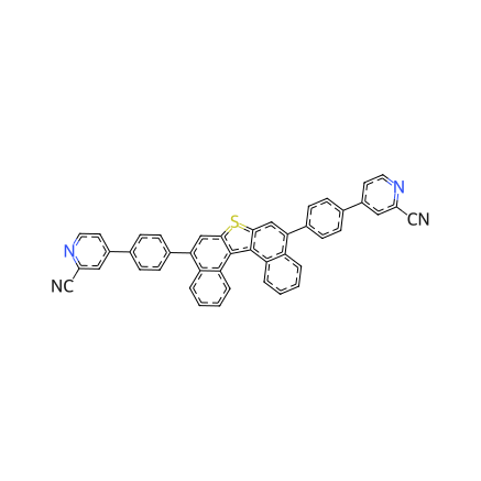 N#Cc1cc(-c2ccc(-c3cc4sc5cc(-c6ccc(-c7ccnc(C#N)c7)cc6)c6ccccc6c5c4c4ccccc34)cc2)ccn1